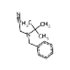 CC(C)(C)N(CC#N)Cc1ccccc1